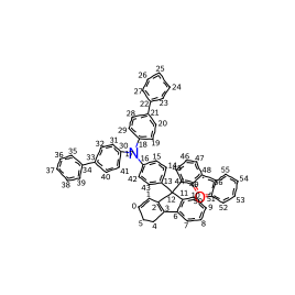 C1=CC2=C(CC1)c1ccccc1C2(c1ccc(N(c2ccc(-c3ccccc3)cc2)c2ccc(-c3ccccc3)cc2)cc1)c1cccc2c1oc1ccccc12